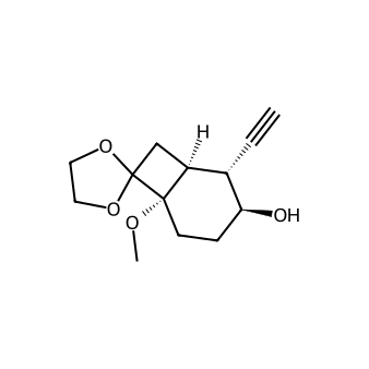 C#C[C@@H]1[C@@H](O)CC[C@]2(OC)[C@H]1CC21OCCO1